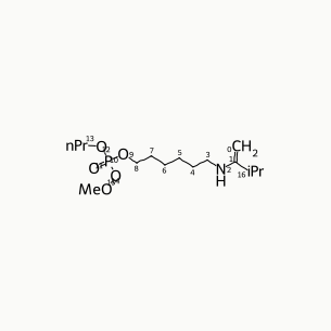 C=C(NCCCCCCOP(=O)(OCCC)OOC)C(C)C